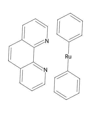 c1cc[c]([Ru][c]2ccccc2)cc1.c1cnc2c(c1)ccc1cccnc12